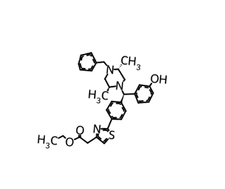 CCOC(=O)Cc1csc(-c2ccc([C@H](c3cccc(O)c3)N3C[C@@H](C)N(Cc4ccccc4)C[C@@H]3C)cc2)n1